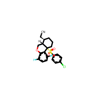 N#CC[C@H]1CCC[C@]2(S(=O)(=O)c3ccc(Cl)cc3)c3c(F)ccc(F)c3OC[C@H]12